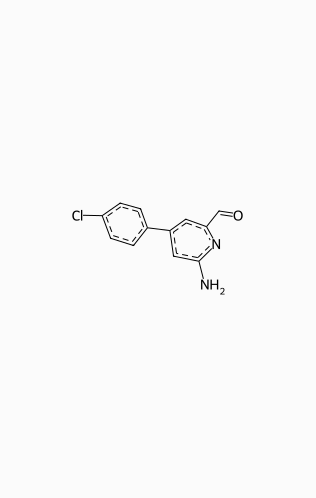 Nc1cc(-c2ccc(Cl)cc2)cc(C=O)n1